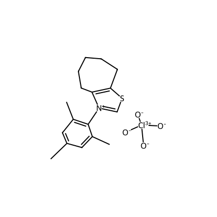 Cc1cc(C)c(-[n+]2csc3c2CCCCC3)c(C)c1.[O-][Cl+3]([O-])([O-])[O-]